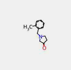 Cc1ccccc1CN1CCC(=O)C1